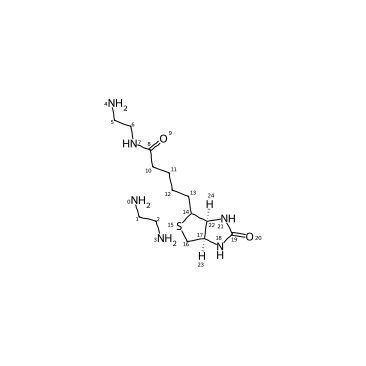 NCCN.NCCNC(=O)CCCCC1SC[C@@H]2NC(=O)N[C@H]12